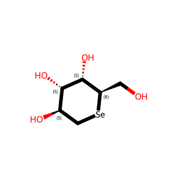 OC[C@H]1[Se]C[C@@H](O)[C@H](O)[C@@H]1O